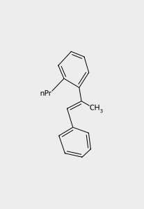 CCCc1ccccc1C(C)=Cc1ccccc1